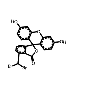 O=C1OC2(c3ccc(O)cc3Oc3cc(O)ccc32)c2cccc(C(Br)Br)c21